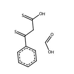 O=CO.OC(=S)CC(=S)c1ccccc1